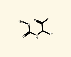 CC(C)C(NC(=O)OC(C)(C)C)C(=O)F